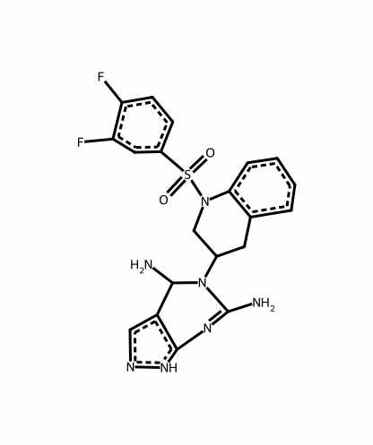 NC1=Nc2[nH]ncc2C(N)N1C1Cc2ccccc2N(S(=O)(=O)c2ccc(F)c(F)c2)C1